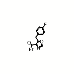 CCC(=O)c1ncoc1Cc1ccc(F)cc1